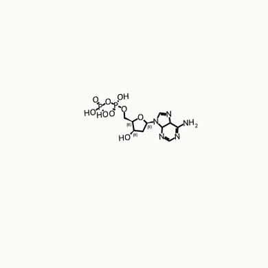 NC1=NC=NC2C1N=CN2[C@H]1C[C@@H](O)[C@@H](COP(=O)(O)OP(=O)(O)O)O1